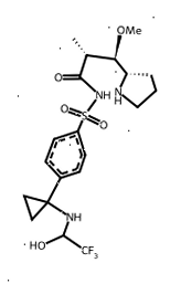 CO[C@@H]([C@@H]1CCCN1)[C@@H](C)C(=O)NS(=O)(=O)c1ccc(C2(NC(O)C(F)(F)F)CC2)cc1